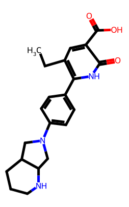 CCc1cc(C(=O)O)c(=O)[nH]c1-c1ccc(N2CC3CCCNC3C2)cc1